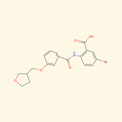 O=C(Nc1ccc(Br)cc1C(=O)O)c1cccc(OCC2CCOC2)c1